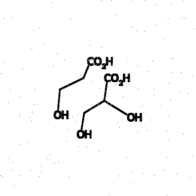 O=C(O)C(O)CO.O=C(O)CCO